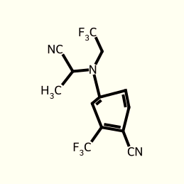 CC(C#N)N(CC(F)(F)F)c1ccc(C#N)c(C(F)(F)F)c1